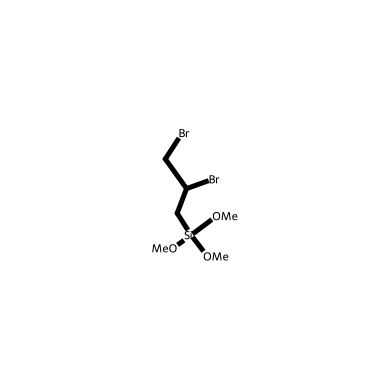 CO[Si](CC(Br)CBr)(OC)OC